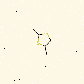 CC1CSC(C)S1